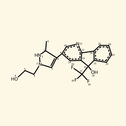 CC1NN(CCO)C=C1c1cnc2c(c1)C(O)(C(F)(F)F)c1ccccc1-2